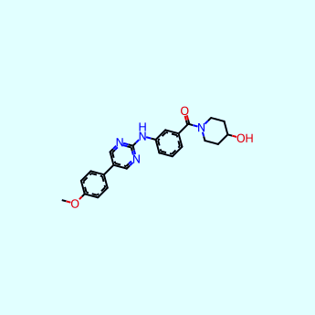 COc1ccc(-c2cnc(Nc3cccc(C(=O)N4CCC(O)CC4)c3)nc2)cc1